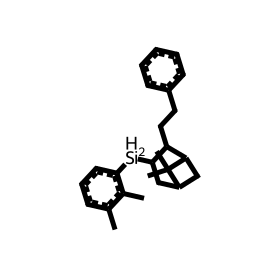 Cc1cccc([SiH2]C2CC3CC(C2CCc2ccccc2)C3(C)C)c1C